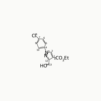 CCOC(=O)c1cn(-c2ccc(Cl)cc2)nc1CO